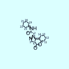 O=C(Cn1ncc2c(=O)oc3ccccc3c21)Nc1ccccc1